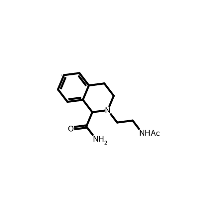 CC(=O)NCCN1CCc2c[c]ccc2C1C(N)=O